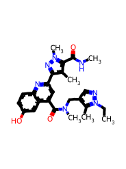 CCn1ncc(CN(C)C(=O)c2cc(-c3nn(C)c(C(=O)NC)c3C)nc3ccc(O)cc23)c1C